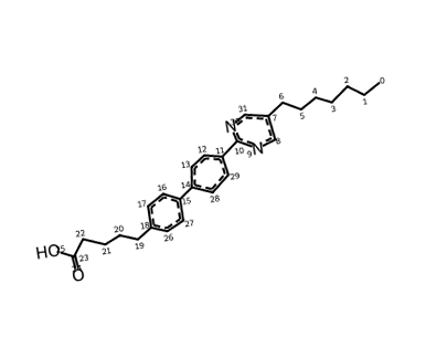 CCCCCCCc1cnc(-c2ccc(-c3ccc(CCCCC(=O)O)cc3)cc2)nc1